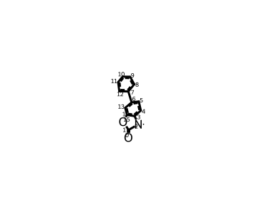 O=C1[N]c2ccc(-c3ccccc3)cc2O1